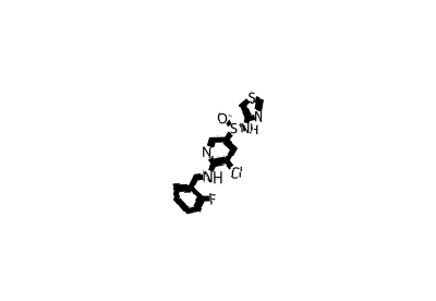 [O-][S+](Nc1cscn1)c1cnc(NCc2ccccc2F)c(Cl)c1